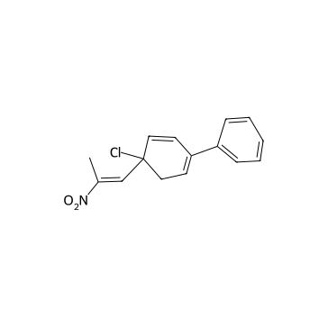 CC(=CC1(Cl)C=CC(c2ccccc2)=CC1)[N+](=O)[O-]